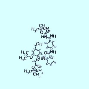 CC(C)Oc1cc(CO)cc(CNc2ccccc2C(=O)Nc2ccc(C(=N)NC(=O)OC(C)(C)C)cc2)c1OCC(=O)OC(C)(C)C